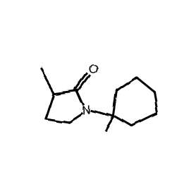 CC1CCN(C2(C)CCCCC2)C1=O